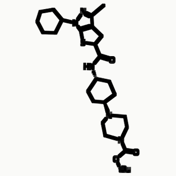 Cc1nn(C2CCCCC2)c2c1CC(C(=O)N[C@H]1CC[C@H](N3CCN(C(=O)OC(C)(C)C)CC3)CC1)S2